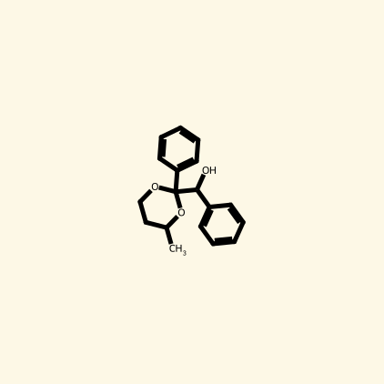 CC1CCOC(c2ccccc2)(C(O)c2ccccc2)O1